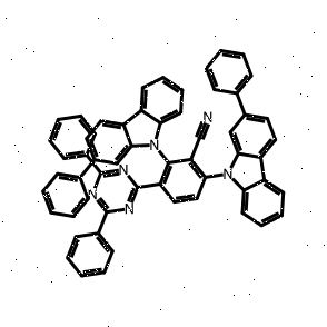 N#Cc1c(-n2c3ccccc3c3ccc(-c4ccccc4)cc32)ccc(-c2nc(-c3ccccc3)nc(-c3ccccc3)n2)c1-n1c2ccccc2c2ccc(-c3ccccc3)cc21